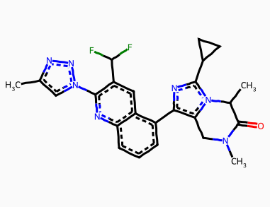 Cc1cn(-c2nc3cccc(-c4nc(C5CC5)n5c4CN(C)C(=O)C5C)c3cc2C(F)F)nn1